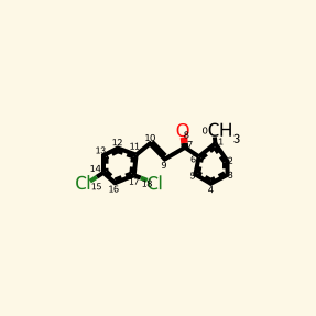 Cc1ccccc1C(=O)C=Cc1ccc(Cl)cc1Cl